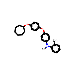 CC(=O)N(c1ccc(Oc2ccc(OC3CCCCCC3)cc2)cc1)c1ccccc1C(=O)O